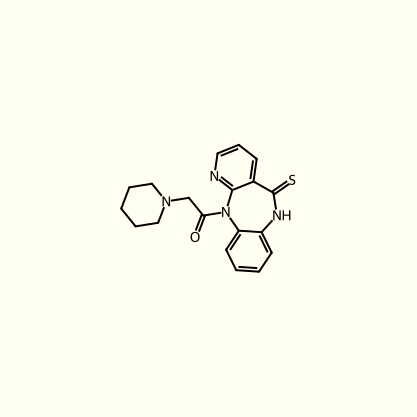 O=C(CN1CCCCC1)N1c2ccccc2NC(=S)c2cccnc21